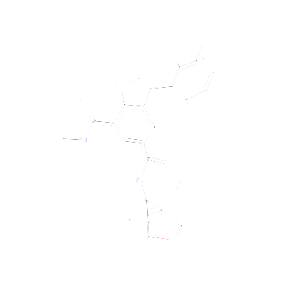 CNC(=O)c1cc(C(=O)NC2[C@H]3COC[C@@H]23)cc2c1OCC2c1cccc(O)c1